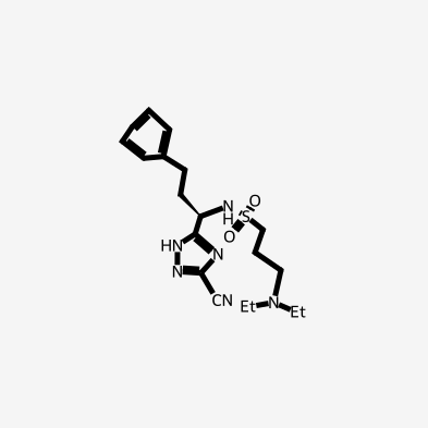 CCN(CC)CCCS(=O)(=O)N[C@H](CCc1ccccc1)c1nc(C#N)n[nH]1